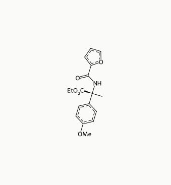 CCOC(=O)[C@](C)(NC(=O)c1ccco1)c1ccc(OC)cc1